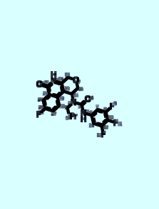 CC(C)CN(C(=O)Nc1cc(F)c(F)c(F)c1)[C@@H]1COCc2[nH]c(=O)c3cc(F)ccc3c21